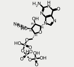 Nc1nc2c(ncn2[C@@H]2O[C@H](COP(=O)(O)OP(=O)(O)OP(=O)(O)O)[C@@H](O)[C@H]2O)c(=O)[nH]1.[Na].[Na].[Na]